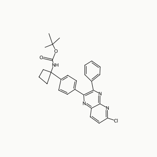 CC(C)(C)OC(=O)NC1(c2ccc(-c3nc4ccc(Cl)nc4nc3-c3ccccc3)cc2)CCC1